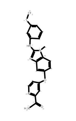 Cn1c(Nc2cccc(SC(F)(F)F)c2)nc2cc(Oc3ccnc(C(N)=O)c3)ccc21